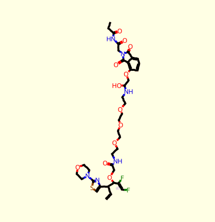 C=CC(c1csc(N2CCOCC2)n1)C(OCC(=O)NCCOCCOCCOCCNC(O)COc1cccc2c1C(=O)N(CC(=O)NC(=O)CC)C2=O)/C(F)=C/F